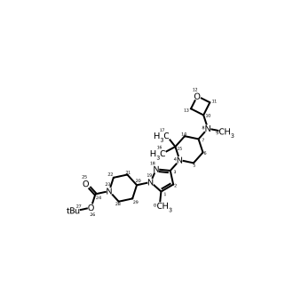 Cc1cc(N2CCC(N(C)C3COC3)CC2(C)C)nn1C1CCN(C(=O)OC(C)(C)C)CC1